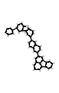 c1ccc(-c2ccc3oc4ccc(-c5ccc6cc(-c7cc8c9c(cccc9c7)-c7ccccc7-8)ccc6c5)cc4c3c2)cc1